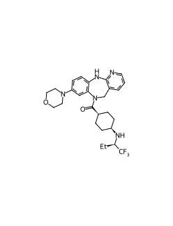 CC[C@@H](N[C@H]1CC[C@@H](C(=O)N2Cc3cccnc3Nc3ccc(N4CCOCC4)cc32)CC1)C(F)(F)F